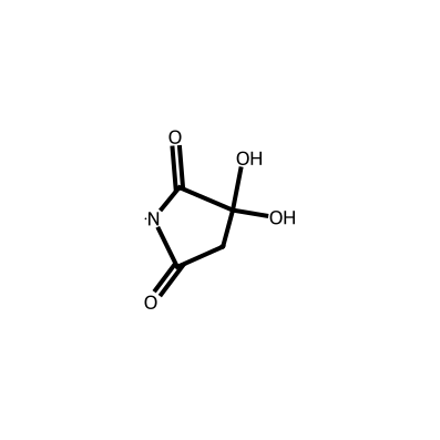 O=C1CC(O)(O)C(=O)[N]1